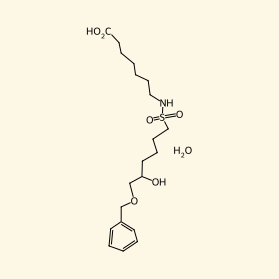 O.O=C(O)CCCCCCNS(=O)(=O)CCCCC(O)COCc1ccccc1